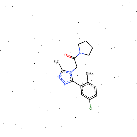 CNc1ccc(Cl)cc1-c1nnc(C(F)(F)F)n1CC(=O)N1CCCC1